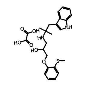 CSc1ccccc1OCC(O)CNC(C)(C)Cc1c[nH]c2ccccc12.O=C(O)C(=O)O